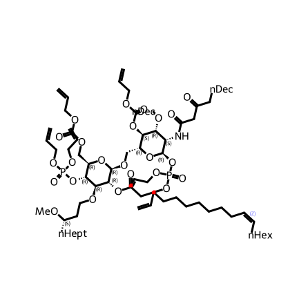 C=CCOC(=O)OC[C@H]1O[C@@H](OC[C@H]2O[C@H](OP(=O)(OCC=C)OCC=C)[C@@H](NC(=O)CC(=O)CCCCCCCCCCC)[C@@H](OCCCCCCCCCC)[C@@H]2OC(=O)OCC=C)[C@H](OC(=O)CCCCCCCCC/C=C\CCCCCC)[C@@H](OCC[C@H](CCCCCCC)OC)[C@@H]1OP(=O)(OCC=C)OCC=C